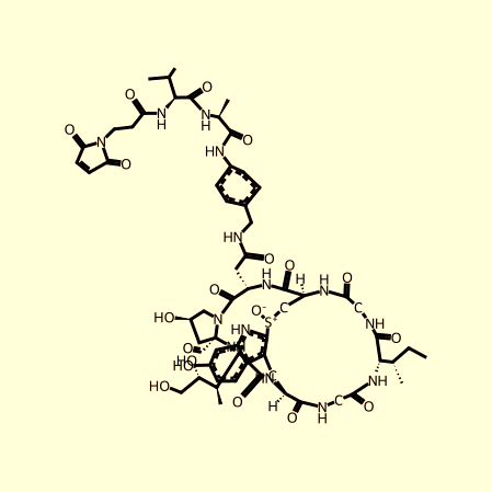 CC[C@H](C)[C@@H]1NC(=O)CNC(=O)[C@@H]2Cc3c([nH]c4cc(O)ccc34)[S+]([O-])C[C@H](NC(=O)CNC1=O)C(=O)N[C@@H](CC(=O)NCc1ccc(NC(=O)[C@H](C)NC(=O)[C@@H](NC(=O)CCN3C(=O)C=CC3=O)C(C)C)cc1)C(=O)N1C[C@H](O)C[C@]1(C=O)N[C@@H]([C@@H](C)[C@@H](O)CO)C(=O)N2